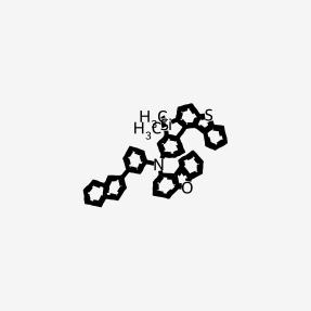 C[Si]1(C)c2cc(N(c3cccc(-c4ccc5ccccc5c4)c3)c3cccc4oc5ccccc5c34)ccc2-c2c1ccc1sc3ccccc3c21